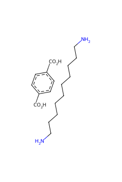 NCCCCCCCCCCN.O=C(O)c1ccc(C(=O)O)cc1